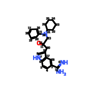 N=C(N)c1ccc2[nH]cc(CC(=O)CN(c3ccccc3)C3CCCCC3)c2c1